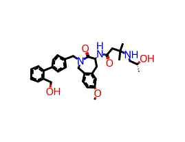 COc1ccc2c(c1)C[C@@H](NC(=O)CC(C)(C)NC[C@@H](C)O)C(=O)N(Cc1ccc(-c3ccccc3CO)cc1)C2